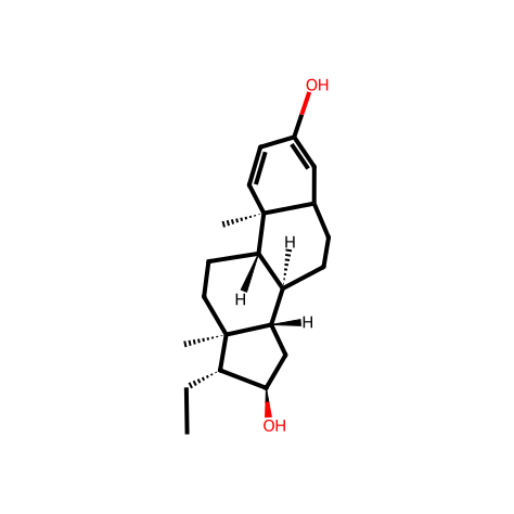 CC[C@H]1[C@H](O)C[C@H]2[C@@H]3CCC4C=C(O)C=C[C@]4(C)[C@H]3CC[C@@]21C